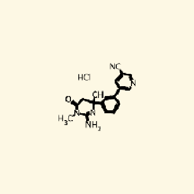 CN1C(=O)CC(C)(c2cccc(-c3cncc(C#N)c3)c2)N=C1N.Cl